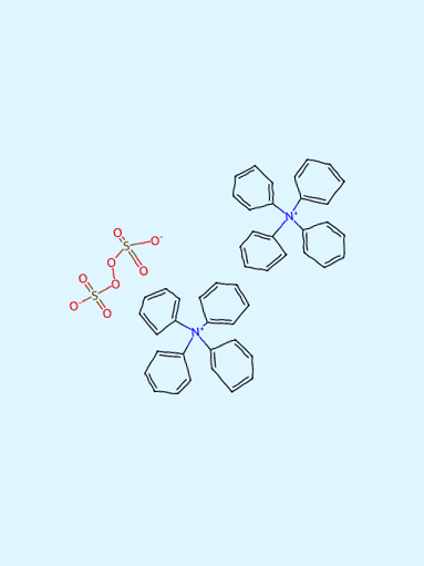 O=S(=O)([O-])OOS(=O)(=O)[O-].c1ccc([N+](c2ccccc2)(c2ccccc2)c2ccccc2)cc1.c1ccc([N+](c2ccccc2)(c2ccccc2)c2ccccc2)cc1